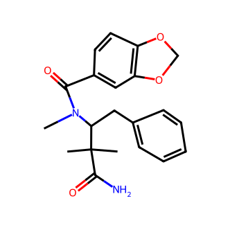 CN(C(=O)c1ccc2c(c1)OCO2)C(Cc1ccccc1)C(C)(C)C(N)=O